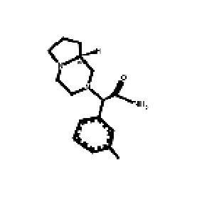 Cc1cccc(C(C(N)=O)N2CCN3CCC[C@@H]3C2)c1